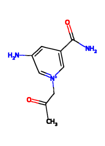 CC(=O)C[n+]1cc(N)cc(C(N)=O)c1